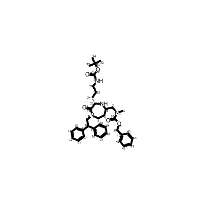 CN(CC1CCN(CC(c2ccccc2)c2ccccc2)C(=O)[C@H](CCCNC(=O)OC(C)(C)C)N1)C(=O)OCc1ccccc1